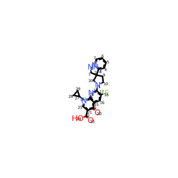 NCC1(c2ccccn2)CCN(c2nc3c(cc2F)c(=O)c(C(=O)O)cn3C2CC2)C1